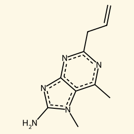 C=CCc1nc(C)c2c(n1)nc(N)n2C